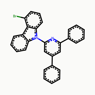 Brc1cccc2c1c1ccccc1n2-c1cc(-c2ccccc2)cc(-c2ccccc2)n1